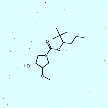 CCCC(OC(=O)N1C[C@@H](O)[C@H](OC)C1)C(C)(C)C